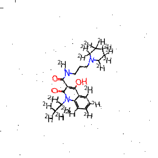 [2H]c1c([2H])c([2H])c2c(c1[2H])c(O)c(C(=O)N([2H])CCCN1C([2H])C([2H])([2H])C([2H])([2H])C([2H])(C)C1([2H])[2H])c(=O)n2C([2H])([2H])C([2H])([2H])[2H]